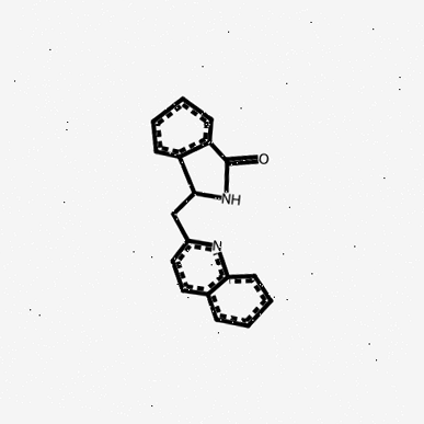 O=C1NC(Cc2ccc3ccccc3n2)c2ccccc21